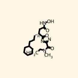 CN(CC(=O)O)C(=O)c1noc([C@H](CCCC2CCCCC2)CC(=O)NO)n1